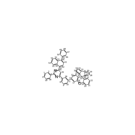 c1ccc(-c2nc(-c3cccc(-c4ccc5c(c4)Oc4ccccc4C54c5ccccc5-c5ccccc54)c3)cc(-c3ccc(-c4ccccc4)c4ccccc34)n2)cc1